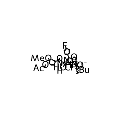 COc1cc(C(=O)NCC(O)(c2cc3c(c(-c4ccc(F)cc4)n2)OC[C@@]3(C)N[S+]([O-])C(C)(C)C)C(F)(F)F)ccc1OCC(C)=O